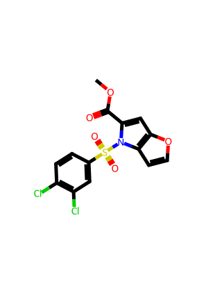 COC(=O)c1cc2occc2n1S(=O)(=O)c1ccc(Cl)c(Cl)c1